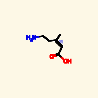 C/C(=C/C(=O)O)CCN